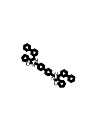 c1ccc(-c2cccc(-c3nc(-c4ccc(-c5ccc(-c6nc(-c7cccc(-c8ccccc8)c7)c7c(n6)oc6ccccc67)cc5)cc4)nc4oc5ccccc5c34)c2)cc1